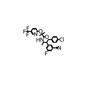 CC(NC(=O)C(C)(C)Oc1ccc(C(F)(F)F)cn1)C(Cc1ccc(Cl)cc1)c1cc(F)cc(C#N)c1